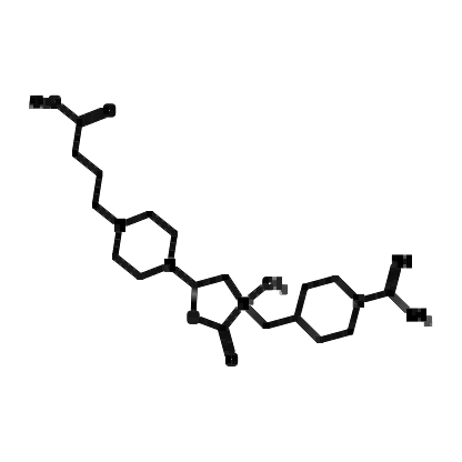 COC(=O)CCCN1CCN(C2C[N+](C)(CC3CCN(C(=N)N)CC3)C(=O)O2)CC1